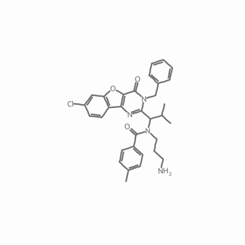 Cc1ccc(C(=O)N(CCCN)C(c2nc3c(oc4cc(Cl)ccc43)c(=O)n2Cc2ccccc2)C(C)C)cc1